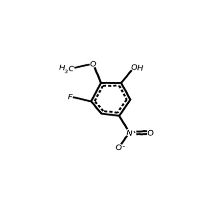 COc1c(O)cc([N+](=O)[O-])cc1F